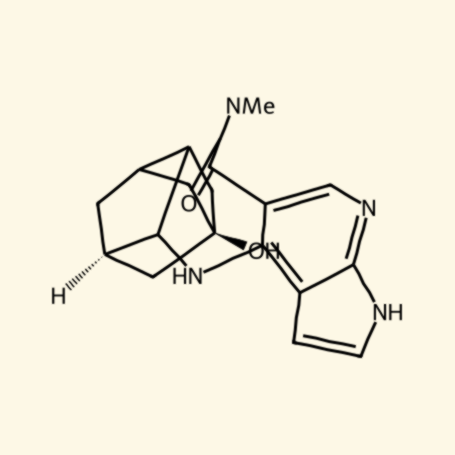 CNC(=O)c1cnc2[nH]ccc2c1NC1C2C[C@@]3(O)CC2C[C@@H]1C3